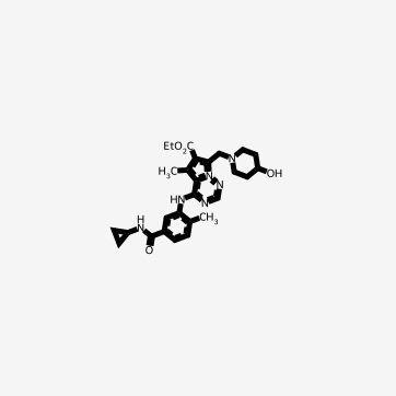 CCOC(=O)c1c(C)c2c(Nc3cc(C(=O)NC4CC4)ccc3C)ncnn2c1CN1CCC(O)CC1